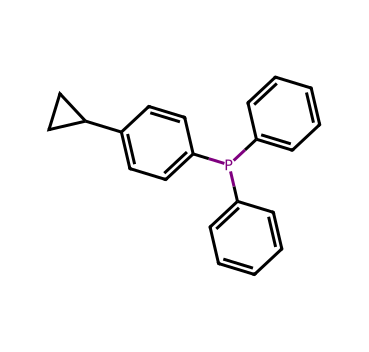 c1ccc(P(c2ccccc2)c2ccc(C3CC3)cc2)cc1